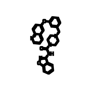 O=C(Nc1noc2ccccc12)N1CCN(Cc2cccc(Oc3ccc4ncccc4c3)c2)CC1